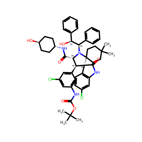 CC1(C)CCC2(CC1)N([C@H](c1ccccc1)[C@@H](O)c1ccccc1)[C@@H](C(=O)N[C@H]1CC[C@H](O)CC1)[C@H](c1cc(Cl)cc(NC(=O)OC(C)(C)C)c1)[C@]21C(=O)Nc2cc(Cl)ccc21